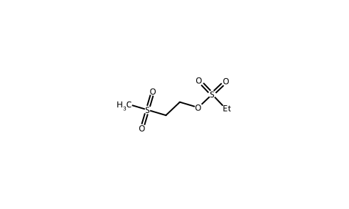 CCS(=O)(=O)OCCS(C)(=O)=O